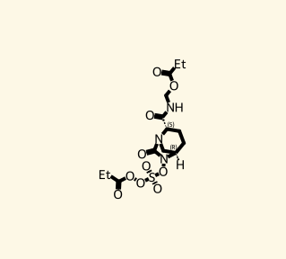 CCC(=O)OCNC(=O)[C@@H]1CC[C@@H]2CN1C(=O)N2OS(=O)(=O)OOC(=O)CC